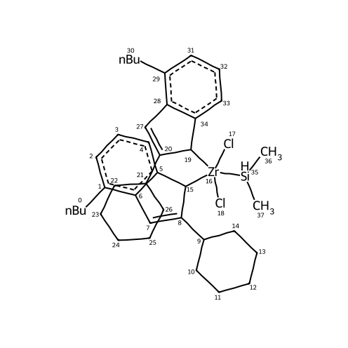 CCCCc1cccc2c1C=C(C1CCCCC1)[CH]2[Zr]([Cl])([Cl])([CH]1C(C2CCCCC2)=Cc2c(CCCC)cccc21)[SiH](C)C